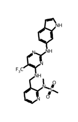 CN(c1ncccc1CNc1nc(Nc2ccc3cc[nH]c3c2)ncc1C(F)(F)F)S(C)(=O)=O